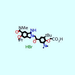 Br.CNC(=O)c1cc2c(cc1OC(C)C)CN(CC(=O)c1cc(N(C)C)c(OCC(=O)O)c(C(C)(C)C)c1)C2=N